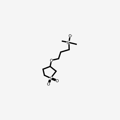 C[Si](C)([O])CCCOC1CCS(=O)(=O)C1